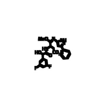 COC(=Nc1cc(-c2ccccc2)n[nH]1)C(CC(=O)O)NC(=O)C(O)c1cc(F)cc(F)c1